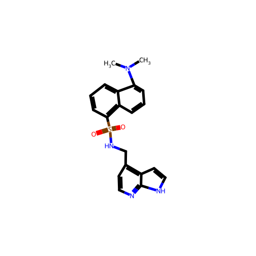 CN(C)c1cccc2c(S(=O)(=O)NCc3ccnc4[nH]ccc34)cccc12